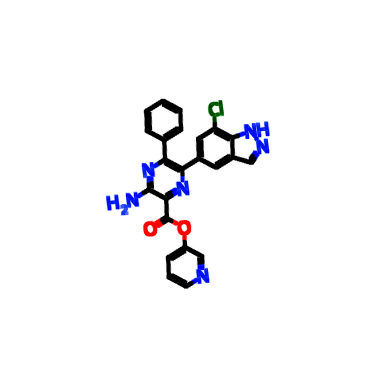 Nc1nc(-c2ccccc2)c(-c2cc(Cl)c3[nH]ncc3c2)nc1C(=O)Oc1cccnc1